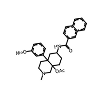 COc1cccc(C23CCN(C)CC2(OC(C)=O)CCC(NC(=O)c2ccc4ccccc4c2)C3)c1